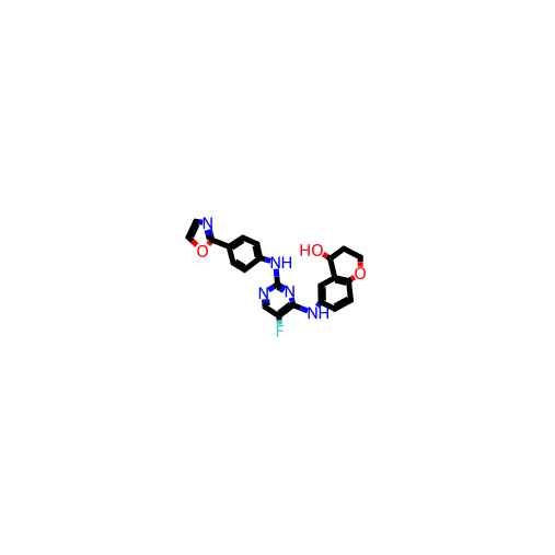 OC1CCOc2ccc(Nc3nc(Nc4ccc(-c5ncco5)cc4)ncc3F)cc21